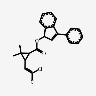 CC1(C)C(C=C(Cl)Cl)C1C(=O)OC1C=C(c2ccccc2)c2ccccc21